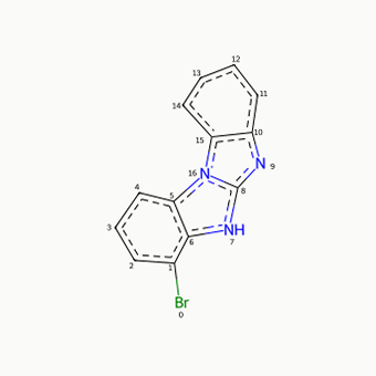 Brc1cccc2c1[nH]c1nc3ccccc3n12